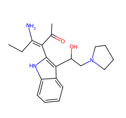 CC/C(N)=C(/C(C)=O)c1[nH]c2ccccc2c1C(O)CN1CCCC1